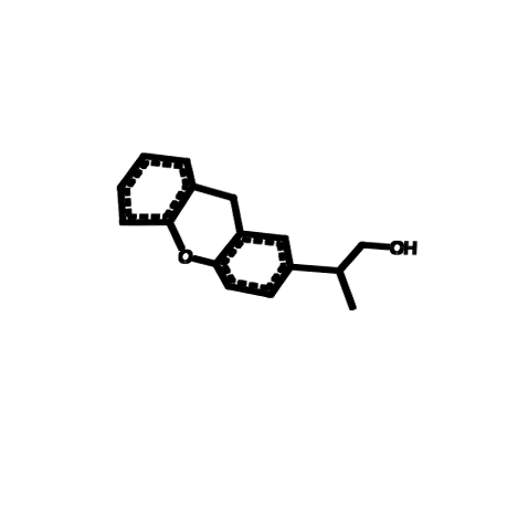 CC(CO)c1ccc2c(c1)Cc1ccccc1O2